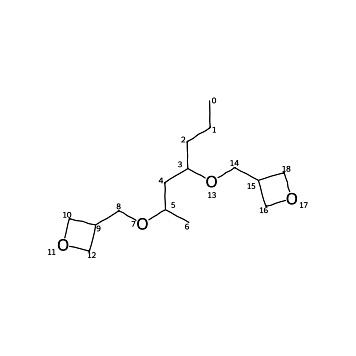 CCCC(CC(C)OCC1COC1)OCC1COC1